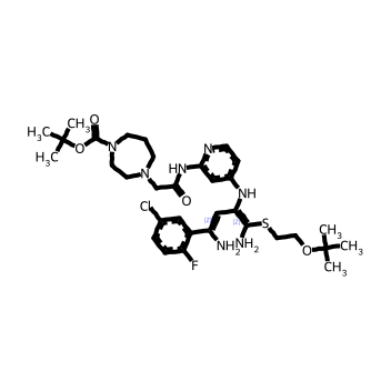 CC(C)(C)OCCS/C(N)=C(/C=C(\N)c1cc(Cl)ccc1F)Nc1ccnc(NC(=O)CN2CCCN(C(=O)OC(C)(C)C)CC2)c1